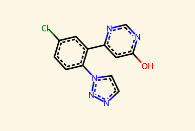 Oc1cc(-c2cc(Cl)ccc2-n2ccnn2)ncn1